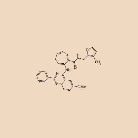 COc1ccc2nc(-c3cccnc3)nc(NC3=CCC=CC=C3C(=O)NCc3occc3C)c2c1